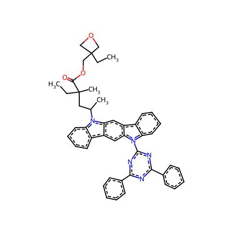 CCC1(COC(=O)C(C)(CC)CC(C)n2c3ccccc3c3cc4c(cc32)c2ccccc2n4-c2nc(-c3ccccc3)nc(-c3ccccc3)n2)COC1